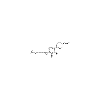 CCCC1CCC(c2ccc(OCCCCOC)c(F)c2F)CC1